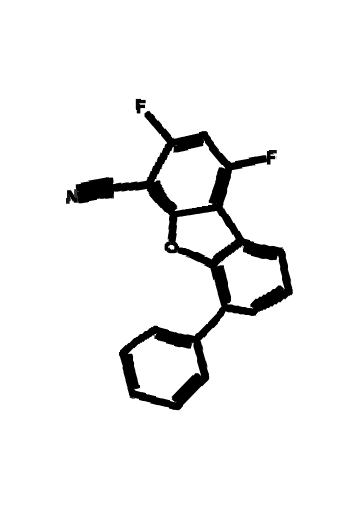 N#Cc1c(F)cc(F)c2c1oc1c(-c3ccccc3)cccc12